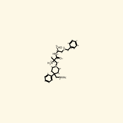 CC(=O)NCC1(c2ccccc2)CCN(CC(C)(N)C(=O)N[C@@H](C=O)COCc2ccccc2)CC1